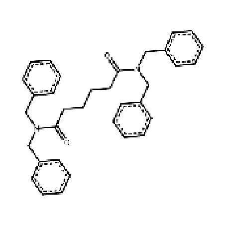 O=C(CCCCC(=O)N(Cc1ccccc1)Cc1ccccc1)N(Cc1ccccc1)Cc1ccccc1